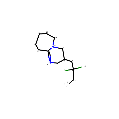 FC(F)(F)CC(F)(F)CC1CN=C2CCCCCN2C1